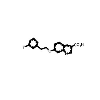 O=C(O)c1cnc2cc(OCCc3cccc(F)c3)ccc2c1